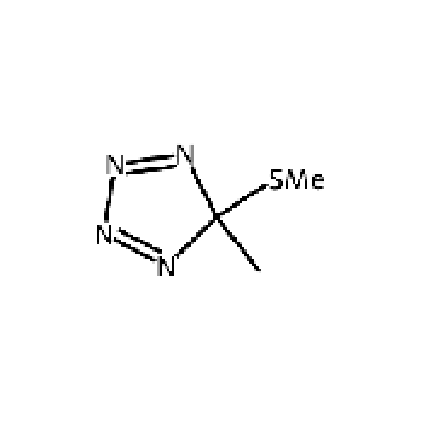 CSC1(C)N=NN=N1